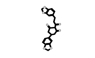 O=C(CCc1ccc2c(c1)OCO2)C1C(=O)CC(c2ccc3c(c2)OCO3)CC1=O